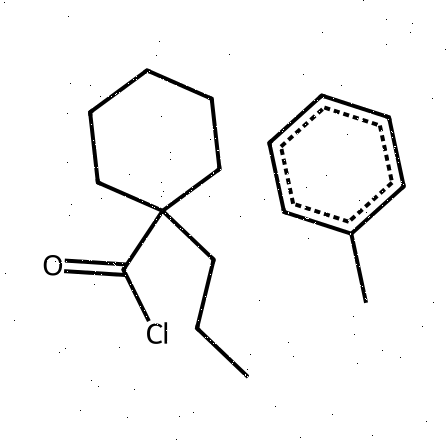 CCCC1(C(=O)Cl)CCCCC1.Cc1ccccc1